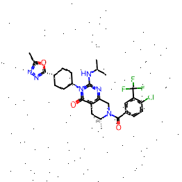 Cc1nnc([C@H]2CC[C@H](n3c(NC(C)C)nc4c(c3=O)C[C@@H](C)N(C(=O)c3ccc(Cl)c(C(F)(F)F)c3)C4)CC2)o1